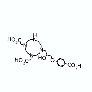 O=C(O)CN1CCNCCN(CC(O)COc2ccc(C(=O)O)cc2)CCN(CC(=O)O)CC1